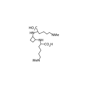 CNCCCCC(NC1CCC1NC(CCCCNC)C(=O)O)C(=O)O